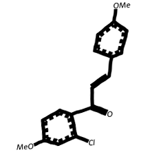 COc1ccc(C=CC(=O)c2ccc(OC)cc2Cl)cc1